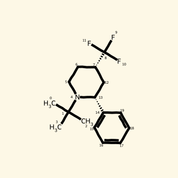 CC(C)(C)N1CC[C@H](C(F)(F)F)C[C@@H]1c1ccccc1